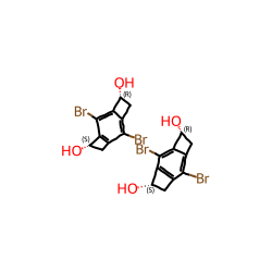 O[C@@H]1Cc2c(Br)c3c(c(Br)c21)[C@@H](O)C3.O[C@@H]1Cc2c(Br)c3c(c(Br)c21)[C@@H](O)C3